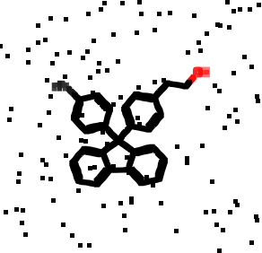 CCCc1ccc(C2(c3ccc(CCO)cc3)c3ccccc3-c3ccccc32)cc1